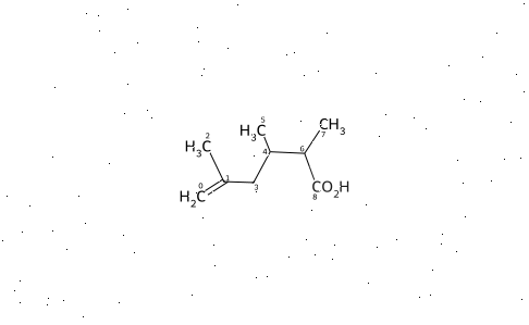 C=C(C)CC(C)C(C)C(=O)O